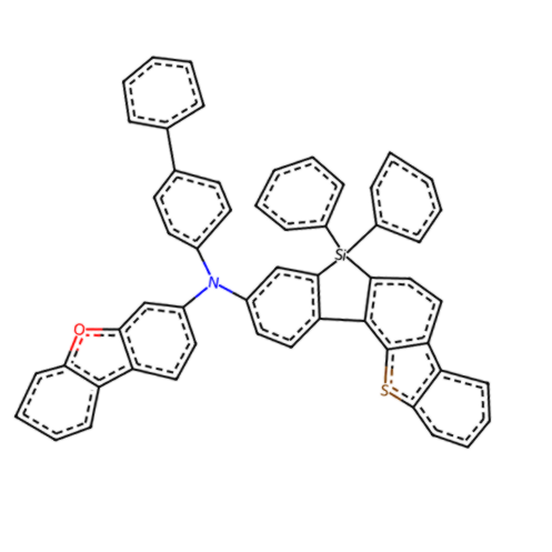 c1ccc(-c2ccc(N(c3ccc4c(c3)[Si](c3ccccc3)(c3ccccc3)c3ccc5c(sc6ccccc65)c3-4)c3ccc4c(c3)oc3ccccc34)cc2)cc1